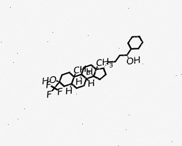 C[C@]12CC[C@@](O)(C(F)(F)F)C[C@@H]1CC[C@@H]1[C@@H]2CC[C@]2(C)[C@H](CCC[C@@H](O)C3CCCCC3)CC[C@@H]12